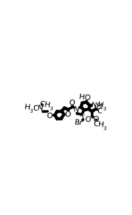 COC(=O)c1c(C)[nH]c2c(O)cc3c(c12)[C@H](CBr)CN3C(=O)c1cc2cc(OCCN(C)C)ccc2o1